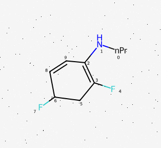 CCCNC1=C(F)C[C](F)C=C1